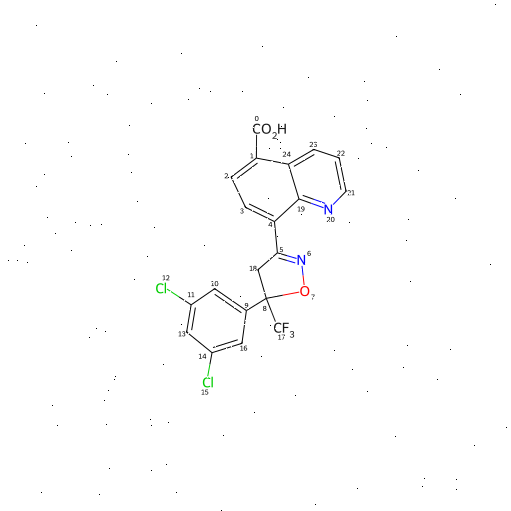 O=C(O)c1ccc(C2=NOC(c3cc(Cl)cc(Cl)c3)(C(F)(F)F)C2)c2ncccc12